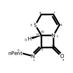 CCCCCN=C1C(=O)N2C=CCS[C@@H]12